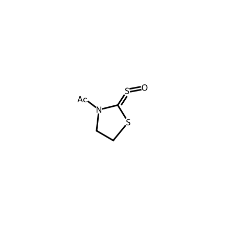 CC(=O)N1CCSC1=S=O